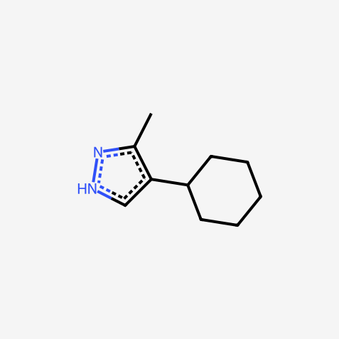 Cc1n[nH]cc1C1CCCCC1